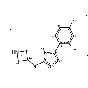 Cc1ccc(-c2noc(CC3CNC3)n2)cc1